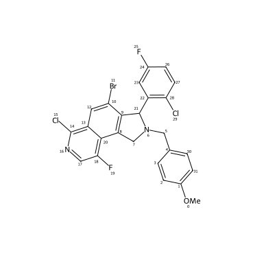 COc1ccc(CN2Cc3c(c(Br)cc4c(Cl)ncc(F)c34)C2c2cc(F)ccc2Cl)cc1